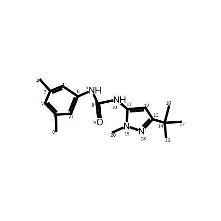 Cc1cc(C)cc(NC(=O)Nc2cc(C(C)(C)C)nn2C)c1